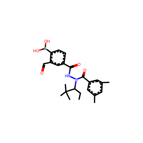 CCC(N(NC(=O)c1ccc(B(O)O)c(C=O)c1)C(=O)c1cc(C)cc(C)c1)C(C)(C)C